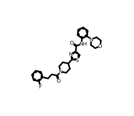 O=C(Nc1ccccc1N1CCOCC1)c1csc(C2CCN(C(=O)CCc3ccccc3F)CC2)n1